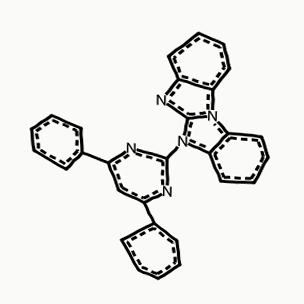 c1ccc(-c2cc(-c3ccccc3)nc(-n3c4ccccc4n4c5ccccc5nc34)n2)cc1